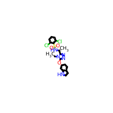 CCn1c(Oc2ccc3cc[nH]c3c2)nnc1[C@@H](C)NS(=O)(=O)c1c(Cl)cccc1Cl